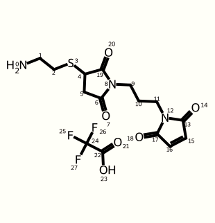 NCCSC1CC(=O)N(CCCN2C(=O)C=CC2=O)C1=O.O=C(O)C(F)(F)F